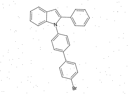 Brc1ccc(-c2ccc(-n3c(-c4ccccc4)cc4ccccc43)cc2)cc1